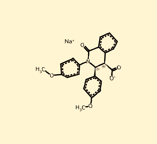 COc1ccc([C@@H]2[C@H](C(=O)[O-])c3ccccc3C(=O)N2c2ccc(OC)cc2)cc1.[Na+]